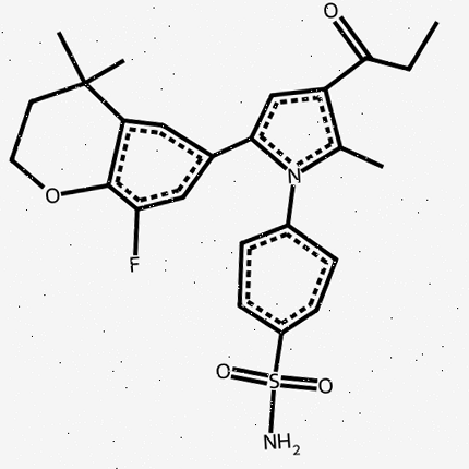 CCC(=O)c1cc(-c2cc(F)c3c(c2)C(C)(C)CCO3)n(-c2ccc(S(N)(=O)=O)cc2)c1C